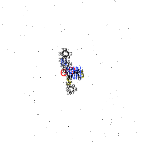 CC1(C)SCN[C@@H]1C(=O)N[C@@H](CSCC1CCCCC1)C(=O)NC1CCN(Cc2ccccc2)CC1